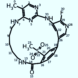 Cc1cnc2nc1NCCCCCNC(=O)c1ccc(cc1S(C)(=O)=O)-c1cnc(F)c(c1)N2